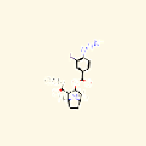 COC(=O)C1C(OC(=O)c2ccc(N=[N+]=[N-])c(I)c2)CC2CC[C@H]1N2C